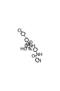 O=C(Nc1cccc([C@@H]2C[C@]2(NS(=O)(=O)c2ccc(-c3ccc(Cl)cc3)cc2)C(=O)O)c1)c1cccnc1